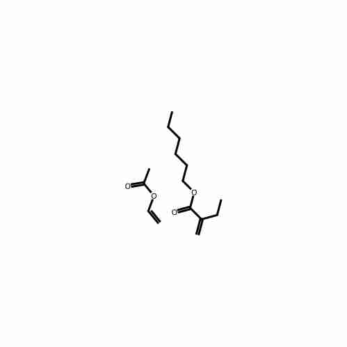 C=C(CC)C(=O)OCCCCCC.C=COC(C)=O